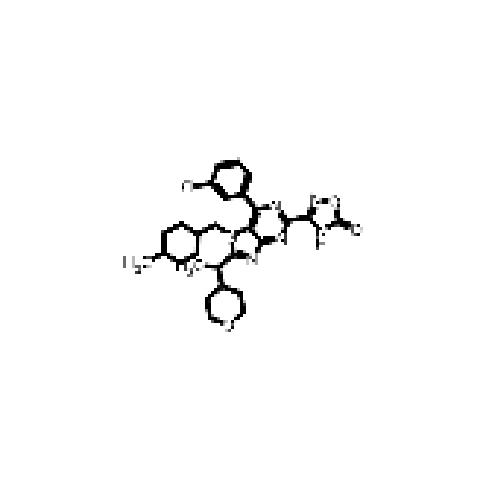 CC1CCC(Cn2c(C(C)C3CCOCC3)nc3nc(-c4noc(=O)[nH]4)nc(-c4cccc(Cl)c4)c32)CC1